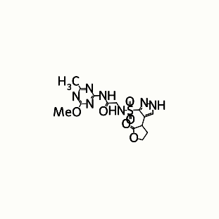 COc1nc(C)nc(NC(=O)CNS(=O)(=O)c2n[nH]cc2C2CCOC2=O)n1